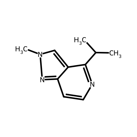 CC(C)c1nccc2nn(C)cc12